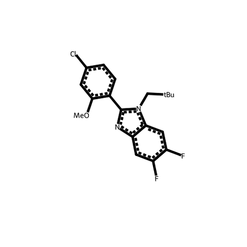 COc1cc(Cl)ccc1-c1nc2cc(F)c(F)cc2n1CC(C)(C)C